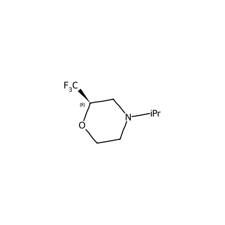 CC(C)N1CCO[C@@H](C(F)(F)F)C1